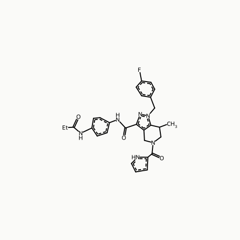 CCC(=O)Nc1ccc(NC(=O)c2nn(Cc3ccc(F)cc3)c3c2CN(C(=O)c2ccc[nH]2)CC3C)cc1